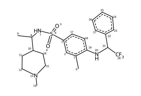 Cc1cc(S(=O)(=O)NC(C)C2CCN(C)CC2)ccc1NC(c1ccccc1)C(F)(F)F